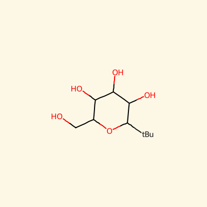 CC(C)(C)C1OC(CO)C(O)C(O)C1O